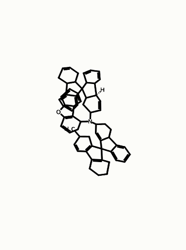 CC1C=CC2=C(C1)C1(C3=CC(N(C4C=C[C@@H]5C6C=CC=CC6C6(c7ccccc7C7CC=CCC76)C5C4)C4CC=CC5=C4C4C=CC=CC4O5)CCC3c3ccccc31)C1=C2CCCC1